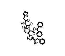 CC(=O)N(Cc1ccccc1)N1CN=C(C2=C(C(=O)OC(c3ccccc3)c3ccccc3)N3C(=O)C(NC(=O)Cc4cccs4)[C@@H]3SC2)S1